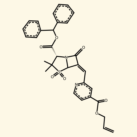 C=CCOC(=O)c1ccnc(/C=C2/C(=O)N3C2S(=O)(=O)C(C)(C)[C@@H]3C(=O)OC(c2ccccc2)c2ccccc2)c1